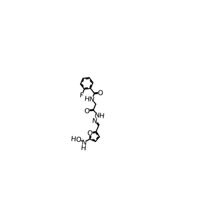 O=C(CNC(=O)c1ccccc1F)N/N=C/c1ccc(NO)o1